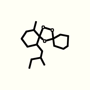 CCC(C)CC1CCCC(C)C12OOC1(CCCCC1)O2